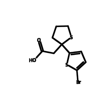 O=C(O)CC1(c2ccc(Br)s2)CCCS1